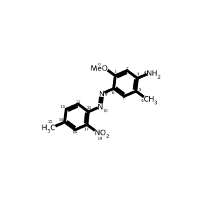 COc1cc(N)c(C)cc1N=Nc1ccc(C)cc1[N+](=O)[O-]